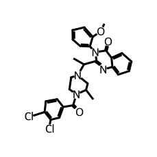 COc1ccccc1-n1c(C(C)N2CCN(C(=O)c3ccc(Cl)c(Cl)c3)C(C)C2)nc2ccccc2c1=O